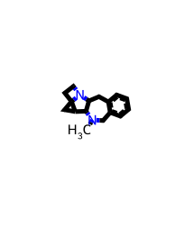 CN1Cc2ccccc2CC2C1C1CC13CCN23